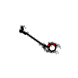 CO[C@H]1C[C@@H]2CC[C@@H](C)[C@@](O)(O2)C(=O)C(=O)N2CCCC[C@H]2C(=O)O[C@H](C[C@H](O)[C@H](N)C[C@@H]2CC[C@@H](OC(=O)NCCOCCOCCOCCOCCOCCOCCOCCOCCC(=O)N3CCc4cc(Cn5nc(-c6ccc7oc(N)nc7c6)c6c(N)ncnc65)ccc4C3)[C@H](OC)C2)[C@H](C)/C=C(\C)[C@@H](O)[C@@H](O)C(=O)[C@H](C)C[C@H](C)/C=C/C=C/C=C/1C